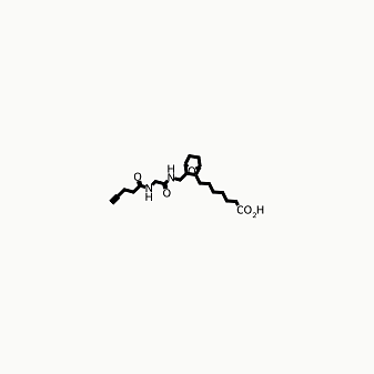 C#CCCC(=O)NCC(=O)NCC1C2CCC(O2)C1CCCCCCC(=O)O